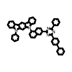 c1ccc(-c2ccc(-c3nc(-c4ccccc4)nc(-c4ccc5c(-n6c7ccccc7c7cc8c9ccccc9n(-c9ccccc9)c8cc76)cccc5c4)n3)cc2)cc1